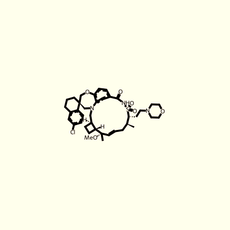 CO[C@@]1(C)/C=C/C[C@H](C)[C@@H](CCN2CCOCC2)S(=O)(=O)NC(=O)c2ccc3c(c2)N(C[C@@H]2CC[C@H]21)C[C@@]1(CCCc2cc(Cl)ccc21)CO3